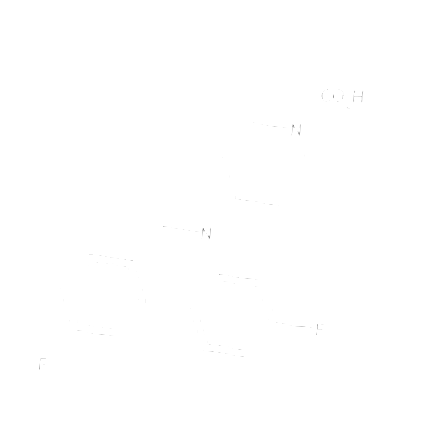 O=C(O)N1CCC(N(Cc2ccc(F)cc2)c2cccc(F)c2)CC1